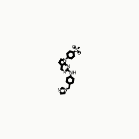 CS(=O)(=O)c1ccc(-n2ccc3cnc(Nc4ccc(Cn5ccnc5)cc4)nc32)cc1